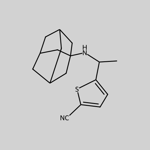 CC(NC12CC3CC(CC(C3)C1)C2)c1ccc(C#N)s1